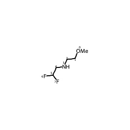 COCCNCC(F)F